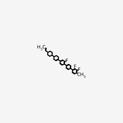 C/C=C/C1CCC(C2CC=C(c3ccc(-c4ccc(-c5ccc(C)c(F)c5F)cc4)c(F)c3)CC2)CC1